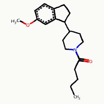 CCCCC(=O)N1CCC(C2CCc3ccc(OC)cc32)CC1